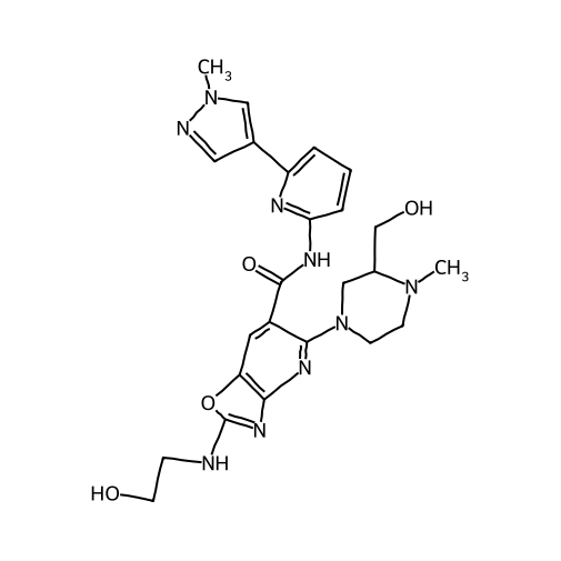 CN1CCN(c2nc3nc(NCCO)oc3cc2C(=O)Nc2cccc(-c3cnn(C)c3)n2)CC1CO